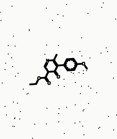 CCOC(=O)C1C=NC(C)=C(c2ccc(OC)cc2)C1=O